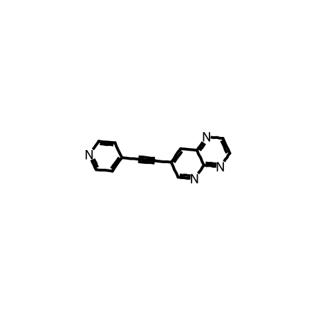 C(#Cc1cnc2nccnc2c1)c1ccncc1